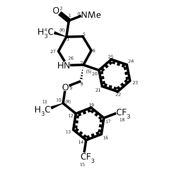 CNC(=O)[C@]1(C)CC[C@@](CO[C@H](C)c2cc(C(F)(F)F)cc(C(F)(F)F)c2)(c2ccccc2)NC1